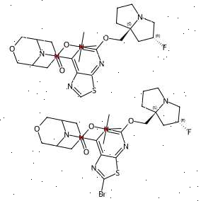 CC(C)(C)OC(=O)N1C2COCC1CN(c1nc(OC[C@@]34CCCN3C[C@H](F)C4)nc3sc(Br)nc13)C2.CC(C)(C)OC(=O)N1C2COCC1CN(c1nc(OC[C@@]34CCCN3C[C@H](F)C4)nc3scnc13)C2